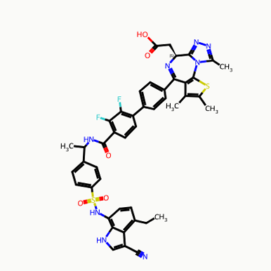 CCc1ccc(NS(=O)(=O)c2ccc(C(C)NC(=O)c3ccc(-c4ccc(C5=N[C@@H](CC(=O)O)c6nnc(C)n6-c6sc(C)c(C)c65)cc4)c(F)c3F)cc2)c2[nH]cc(C#N)c12